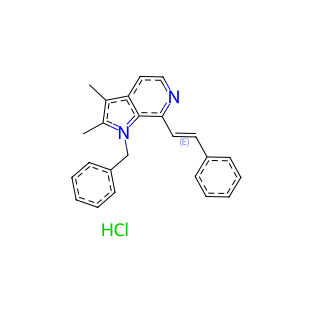 Cc1c(C)n(Cc2ccccc2)c2c(/C=C/c3ccccc3)nccc12.Cl